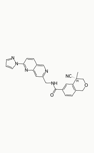 C[C@@]1(C#N)COCc2ccc(C(=O)NCc3cc4nc(-n5cccn5)ccc4cn3)cc21